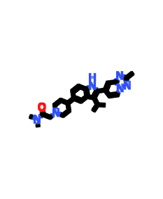 Cc1nc2cc(-c3[nH]c4ccc(C5CCN(CC(=O)N(C)C)CC5)cc4c3C(C)C)ccn2n1